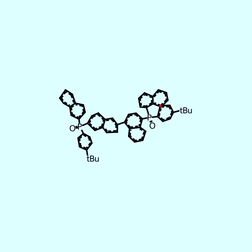 CC(C)(C)c1ccc(P(=O)(c2ccc3ccccc3c2)c2ccc3cc(-c4ccc(P(=O)(c5ccc(C(C)(C)C)cc5)c5cccc6ccccc56)c5ccccc45)ccc3c2)cc1